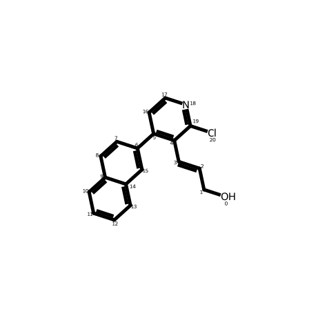 OCC=Cc1c(-c2ccc3ccccc3c2)ccnc1Cl